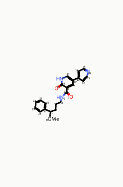 COC(CCCNC(=O)c1cc(-c2ccncc2)c[nH]c1=O)c1ccccc1